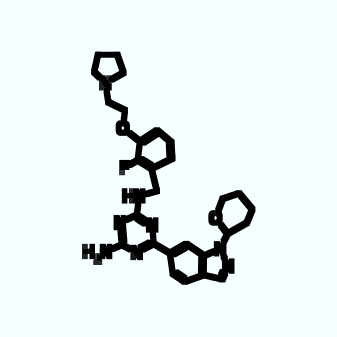 Nc1nc(NCc2cccc(OCCN3CCCC3)c2F)nc(-c2ccc3cnn(C4CCCCO4)c3c2)n1